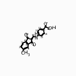 Cc1ccc2c(c1)C(=O)/C(=C\Nc1ccc(C(=O)O)cc1)C2=O